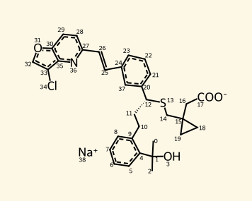 CC(C)(O)c1ccccc1CC[C@@H](SCC1(CC(=O)[O-])CC1)c1cccc(C=Cc2ccc3occ(Cl)c3n2)c1.[Na+]